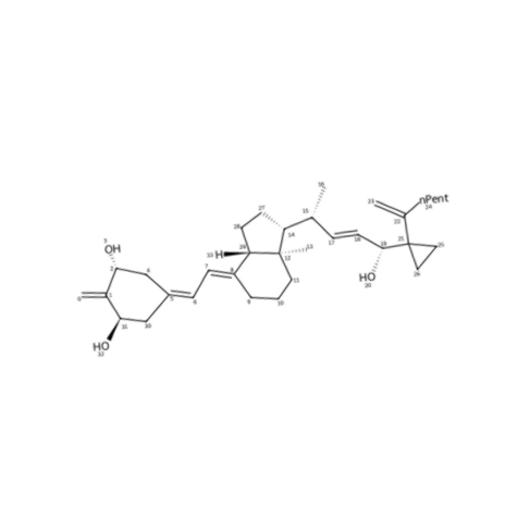 C=C1[C@H](O)CC(=C/C=C2\CCC[C@]3(C)[C@@H]([C@H](C)/C=C/[C@@H](O)C4(C(=C)CCCCC)CC4)CC[C@@H]23)C[C@H]1O